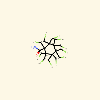 NC(=O)C1(CF)C(CF)(CF)C(CF)(CF)C(CF)(CF)C(CF)(CF)C1(CF)CF